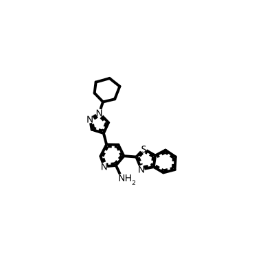 Nc1ncc(-c2cnn(C3CCCCC3)c2)cc1-c1nc2ccccc2s1